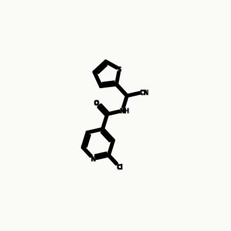 N#CC(NC(=O)c1ccnc(Cl)c1)c1cccs1